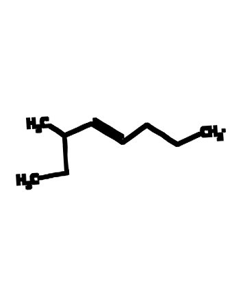 [CH2]CCC=CC(C)CC